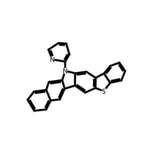 c1ccc(-n2c3cc4ccccc4cc3c3cc4sc5ccccc5c4cc32)nc1